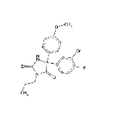 CCCN1C(=O)C(c2ccc(OC)cc2)(c2ccc(F)c(Br)c2)NC1=S